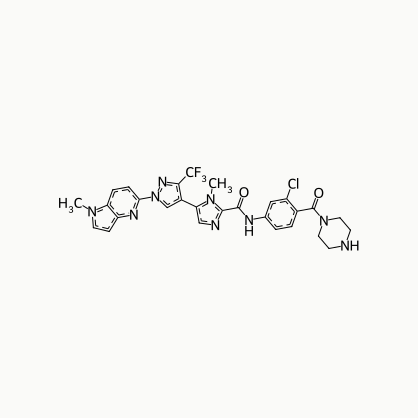 Cn1c(-c2cn(-c3ccc4c(ccn4C)n3)nc2C(F)(F)F)cnc1C(=O)Nc1ccc(C(=O)N2CCNCC2)c(Cl)c1